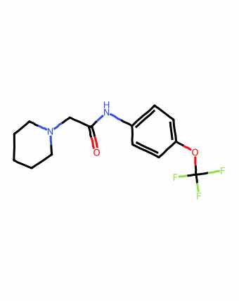 O=C(CN1CCCCC1)Nc1ccc(OC(F)(F)F)cc1